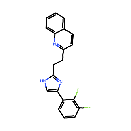 Fc1cccc(-c2c[nH]c(CCc3ccc4ccccc4n3)n2)c1F